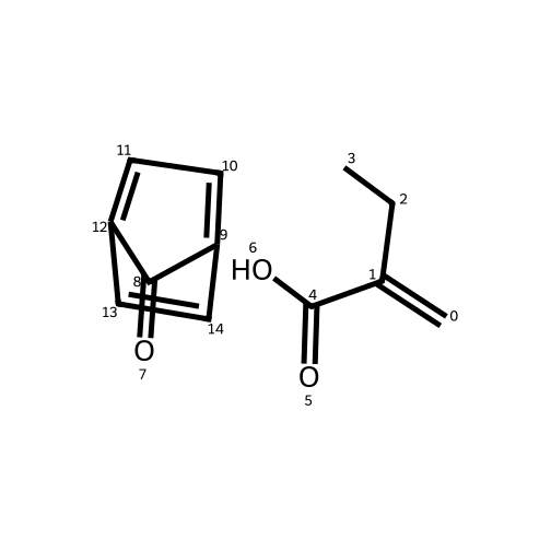 C=C(CC)C(=O)O.O=C1C2=CC=C1C=C2